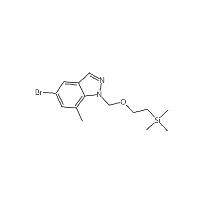 Cc1cc(Br)cc2cnn(COCC[Si](C)(C)C)c12